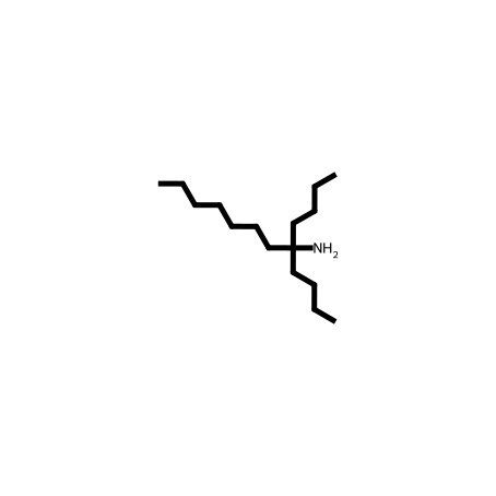 CCCCCCCC(N)(CCCC)CCCC